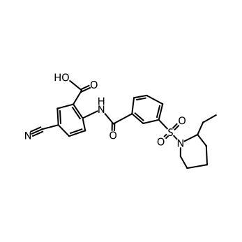 CCC1CCCCN1S(=O)(=O)c1cccc(C(=O)Nc2ccc(C#N)cc2C(=O)O)c1